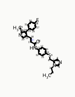 CCCn1cncc1CSc1ccc(NC(=O)/C=C/c2cnn(C)c2-c2ccc(F)cc2)cc1